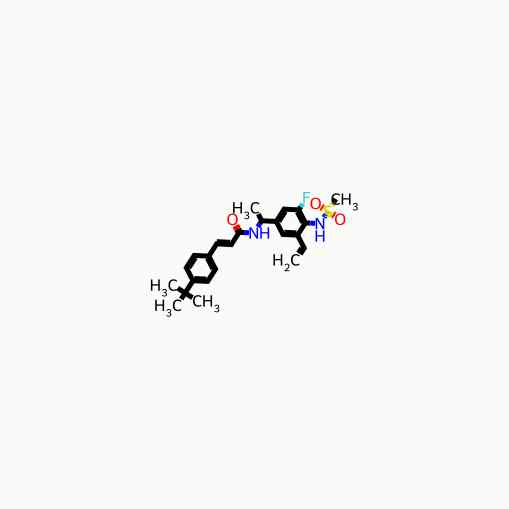 C=Cc1cc(C(C)NC(=O)/C=C/c2ccc(C(C)(C)C)cc2)cc(F)c1NS(C)(=O)=O